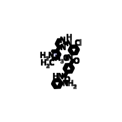 C=C/C=C\C(=C/N)c1ccnc(Nc2cc(N(C)C(=O)c3ccc(C(=O)Nc4ccccc4N)cc3)ccc2Cl)n1